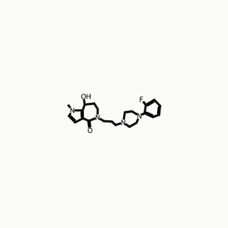 Cn1ccc2c1C(O)CCN(CCCN1CCN(c3ccccc3F)CC1)C2=O